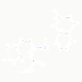 COC(=O)c1c(NCc2cccc3c2CN(C)CC3)ccc2nccn12